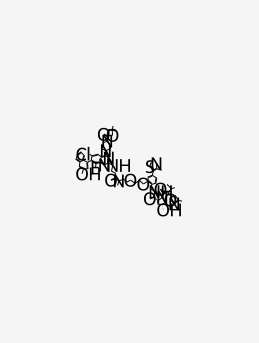 Cc1cc(C(C(=O)N2C[C@H](O)C[C@H]2C(=O)NCc2ccc(-c3scnc3C)cc2OCCOCCN(C)C(=O)CCNc2nc(N3CCN(C(=O)OC(C)(C)C)CC3)c3cc(Cl)c(-c4cc(O)cc5ccccc45)c(F)c3n2)C(C)C)on1